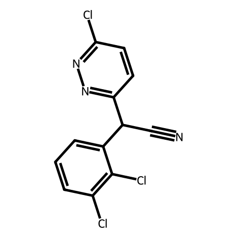 N#CC(c1ccc(Cl)nn1)c1cccc(Cl)c1Cl